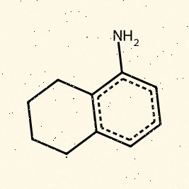 Nc1cccc2c1CCC[CH]2